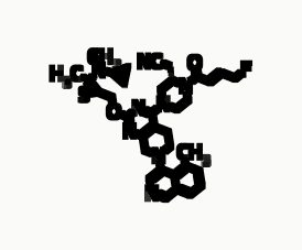 Cc1cccc2cncc(N3CCc4c(nc(OCC5S[C@]5(C)N(C)C5CC5)nc4N4CCN(C(=O)/C=C/CF)[C@@H](CC#N)C4)C3)c12